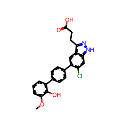 COc1cccc(-c2ccc(-c3cc4c(CCC(=O)O)n[nH]c4cc3Cl)cc2)c1O